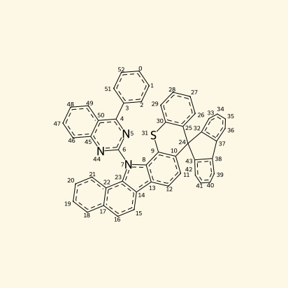 c1ccc(-c2nc(-n3c4c5c(ccc4c4ccc6ccccc6c43)C3(c4ccccc4S5)c4ccccc4-c4ccccc43)nc3ccccc23)cc1